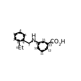 CCc1ccccc1CNc1cccc(C(=O)O)c1